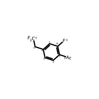 CC(=O)c1ccc(CC(F)(F)F)cc1F